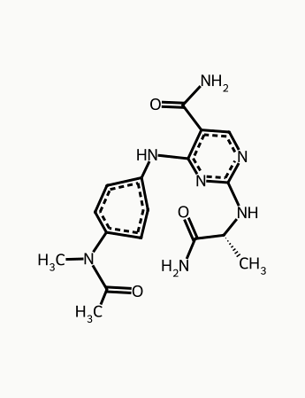 CC(=O)N(C)c1ccc(Nc2nc(N[C@H](C)C(N)=O)ncc2C(N)=O)cc1